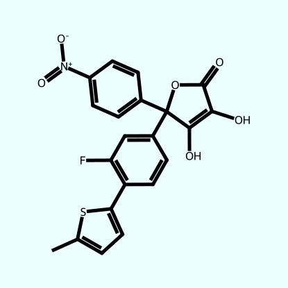 Cc1ccc(-c2ccc(C3(c4ccc([N+](=O)[O-])cc4)OC(=O)C(O)=C3O)cc2F)s1